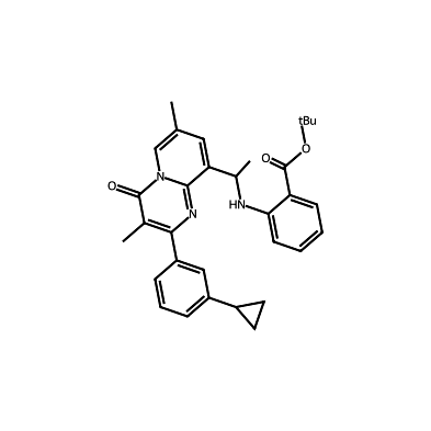 Cc1cc(C(C)Nc2ccccc2C(=O)OC(C)(C)C)c2nc(-c3cccc(C4CC4)c3)c(C)c(=O)n2c1